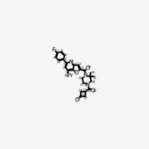 CC(C)c1cc(-c2ccc(F)cc2)nc2cc(C(=O)N3CCN(C(=O)C4CC(=O)C4)CC3(C)C)oc12